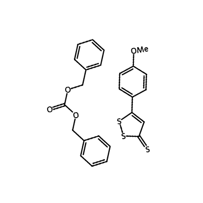 COc1ccc(-c2cc(=S)ss2)cc1.O=C(OCc1ccccc1)OCc1ccccc1